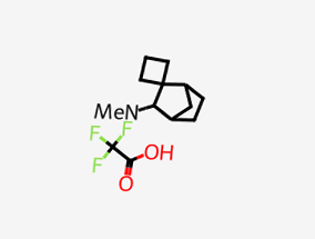 CNC1C2CCC(C2)C12CCC2.O=C(O)C(F)(F)F